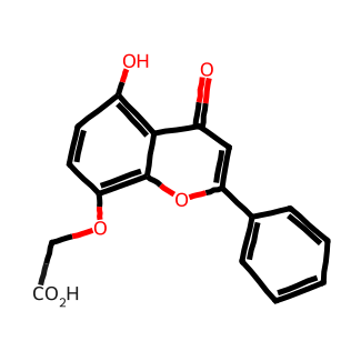 O=C(O)COc1ccc(O)c2c(=O)cc(-c3ccccc3)oc12